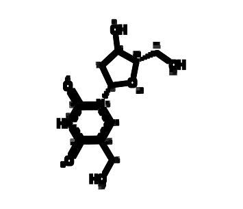 O=c1[nH]c(=O)n([C@@H]2CC(O)[C@H](CO)O2)cc1CO